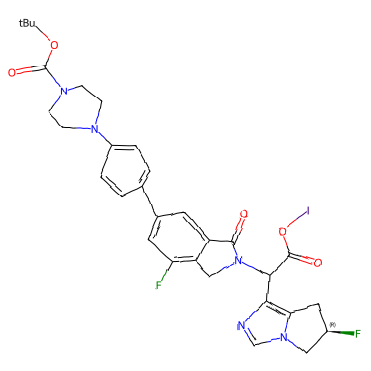 CC(C)(C)OC(=O)N1CCN(c2ccc(-c3cc(F)c4c(c3)C(=O)N(C(C(=O)OI)c3ncn5c3C[C@@H](F)C5)C4)cc2)CC1